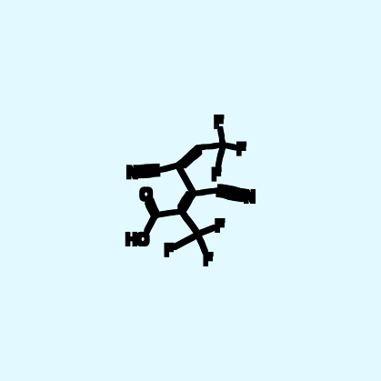 N#CC(=CC(F)(F)F)C(C#N)=C(C(=O)O)C(F)(F)F